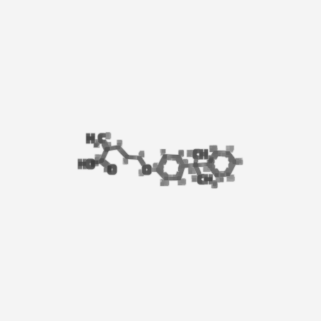 C=C(CCCOc1ccc(C(C)(C)c2ccccc2)cc1)C(=O)O